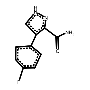 NC(=O)c1n[nH]cc1-c1ccc(F)cc1